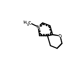 C[n+]1ccc2c(c1)CCCO2